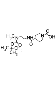 CN(CCNC(=O)C1CCN(C(=O)O)CC1)C(=O)OC(C)(C)C